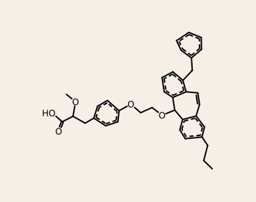 CCCc1ccc2c(c1)C=Cc1c(Cc3ccccc3)cccc1C2OCCOc1ccc(CC(OC)C(=O)O)cc1